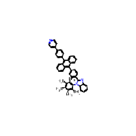 Bc1c(B)c(B)c(-n2c(-c3ccc(-c4c5ccccc5c(-c5ccc(-c6ccncc6)cc5)c5ccccc45)cc3)nc3ccccc32)c(B)c1B